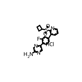 Cl.Nc1cnc(-c2ccc(-c3cccnc3S(=O)(=O)C3CCC3)cc2F)cn1